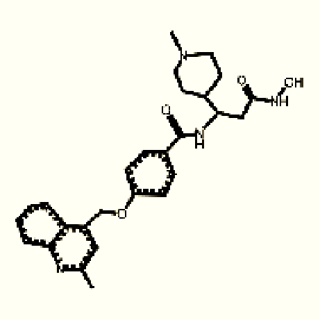 Cc1cc(COc2ccc(C(=O)NC(CC(=O)NO)C3CCN(C)CC3)cc2)c2ccccc2n1